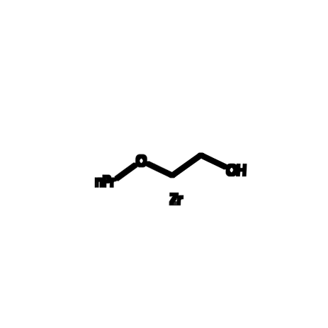 CCCOCCO.[Zr]